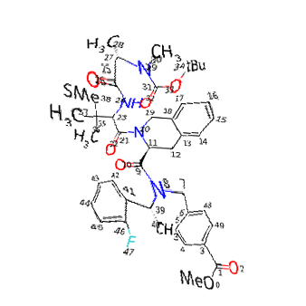 COC(=O)c1ccc(CN(C(=O)[C@@H]2Cc3ccccc3CN2C(=O)C(NC(=O)[C@H](C)N(C)C(=O)OC(C)(C)C)C(C)(C)SC)[C@H](C)c2ccccc2F)cc1